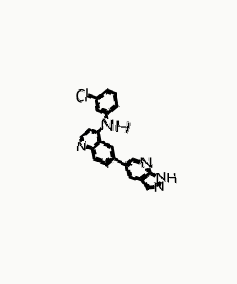 Clc1cccc(Nc2ccnc3ccc(-c4cnc5[nH]ncc5c4)cc23)c1